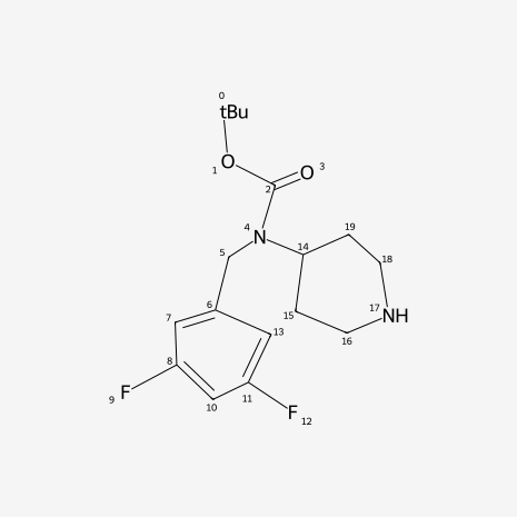 CC(C)(C)OC(=O)N(Cc1cc(F)cc(F)c1)C1CCNCC1